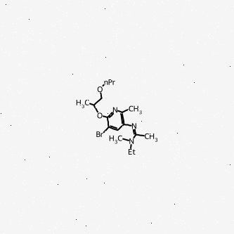 CCCOCC(C)Oc1nc(C)c(N=C(C)N(C)CC)cc1Br